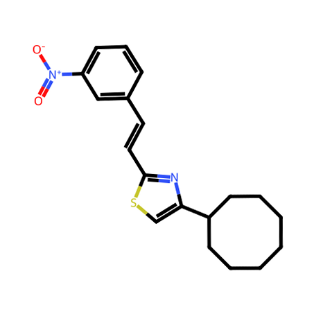 O=[N+]([O-])c1cccc(C=Cc2nc(C3CCCCCCC3)cs2)c1